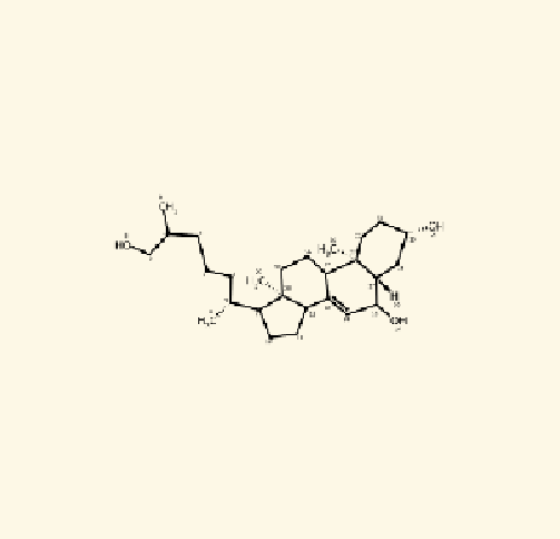 CC(CO)CCC[C@@H](C)C1CCC2C3=CC(O)[C@H]4C[C@@H](O)CC[C@]4(C)C3CC[C@@]21C